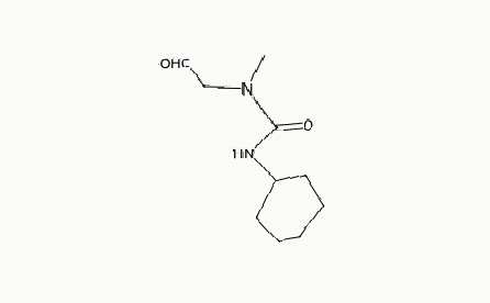 CN(C[C]=O)C(=O)NC1CCCCC1